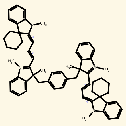 CN1/C(=C/C=C/C2=[N+](C)c3ccccc3C2(C)Cc2ccc(CC3(C)C(/C=C/C=C4/N(C)c5ccccc5C45CCCCC5)=[N+](C)c4ccccc43)cc2)C2(CCCCC2)c2ccccc21